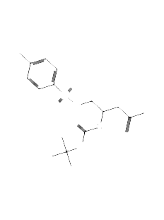 C=C(C)CC(COS(=O)(=O)c1ccc(C)cc1)NC(=O)OC(C)(C)C